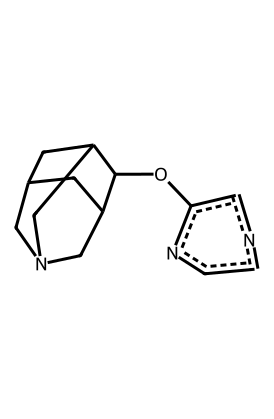 c1cnc(OC2C3CC4CC2CN(C4)C3)cn1